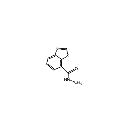 CNC(=O)c1cccc2ncsc12